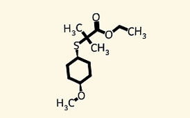 CCOC(=O)C(C)(C)S[C@H]1CC[C@@H](OC)CC1